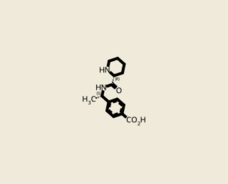 C[C@H](NC(=O)[C@H]1CCCCN1)c1ccc(C(=O)O)cc1